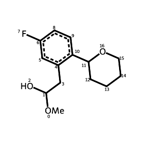 COC(O)Cc1cc(F)ccc1C1CCCCO1